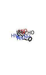 O.[2H]/C(=C1/NC/C(=C/c2ccccc2)NC1C(=O)C=O)c1nc[nH]c1C(C)(C)C